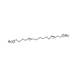 CC(=O)OCC/C=C/CCCCCC/C=C/CCCCOC(C)=O